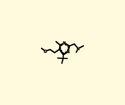 COCCc1c(C)nc(CN(C)C)nc1C(C)(C)C